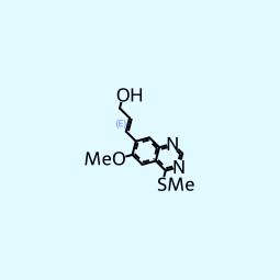 COc1cc2c(SC)ncnc2cc1/C=C/CO